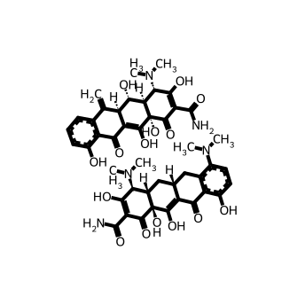 C=C1c2cccc(O)c2C(=O)C2=C(O)[C@]3(O)C(=O)C(C(N)=O)=C(O)[C@@H](N(C)C)[C@@H]3[C@@H](O)[C@H]12.CN(C)c1ccc(O)c2c1C[C@H]1C[C@H]3[C@H](N(C)C)C(O)=C(C(N)=O)C(=O)[C@@]3(O)C(O)=C1C2=O